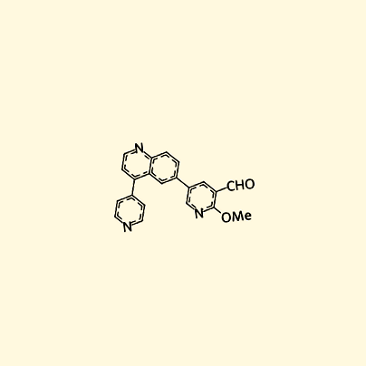 COc1ncc(-c2ccc3nccc(-c4ccncc4)c3c2)cc1C=O